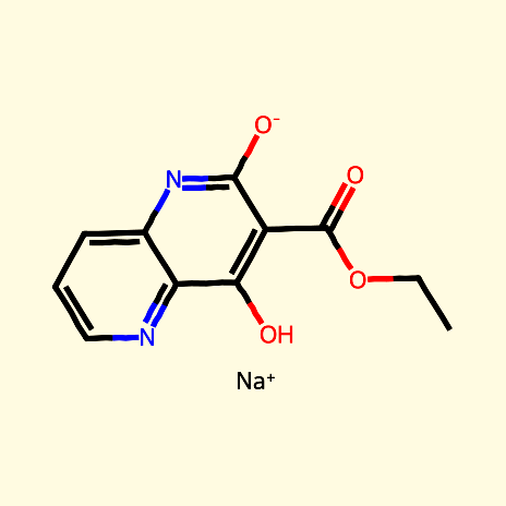 CCOC(=O)c1c([O-])nc2cccnc2c1O.[Na+]